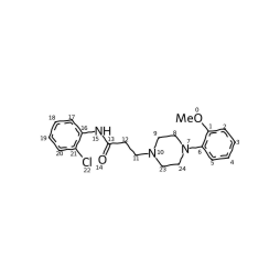 COc1ccccc1N1CCN(CCC(=O)Nc2ccccc2Cl)CC1